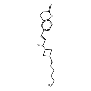 CCCCCOC1CN(C(=O)/C=C/c2cnc3c(c2)CCC(=O)N3)C1